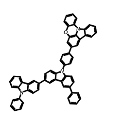 c1ccc(-c2ccc3c(c2)c2cc(-c4ccc5c(c4)c4ccccc4n5-c4ccccc4)ccc2n3-c2ccc(-c3cc4c5c(c3)c3ccccc3n5-c3ccccc3O4)cc2)cc1